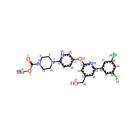 CC(C)(C)OC(=O)N1CCN(c2ccc(Oc3cc(CO)cc(-c4cc(F)cc(Br)c4)n3)cn2)CC1